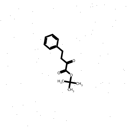 CC(C)(C)OC(=O)C(=O)CCc1ccccc1